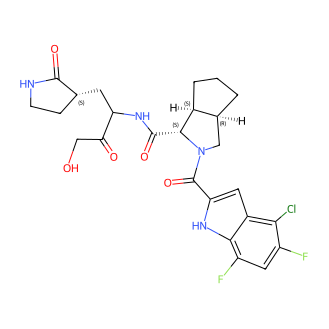 O=C(CO)C(C[C@@H]1CCNC1=O)NC(=O)[C@@H]1[C@H]2CCC[C@H]2CN1C(=O)c1cc2c(Cl)c(F)cc(F)c2[nH]1